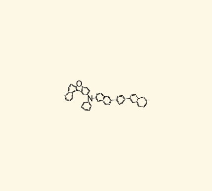 C1=CC=C2C=C(c3ccc(-c4ccc5cc(N(c6ccccc6)c6ccc7oc8ccc9ccccc9c8c7c6)ccc5c4)cc3)C=CC2C=C1